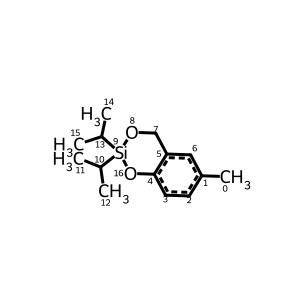 Cc1ccc2c(c1)CO[Si](C(C)C)(C(C)C)O2